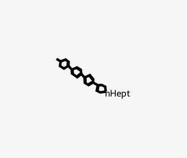 CCCCCCCC1CC=C(c2ccc(-c3ccc(C4=CCC(C)CC4)cc3)cc2)CC1